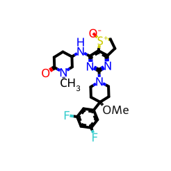 COC1(c2cc(F)cc(F)c2)CCN(c2nc3c(c(NC4CCC(=O)N(C)C4)n2)[S+]([O-])CC3)CC1